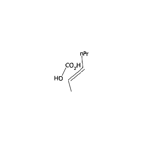 CC=CCCC.O=C(O)O